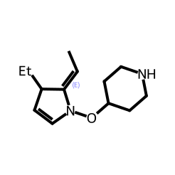 C/C=C1\C(CC)C=CN1OC1CCNCC1